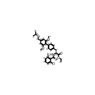 CCOC(=O)[C@H](Cc1ccc(-c2c(OC)cc(COC(C)C)cc2OC)cc1)NC(=O)c1c(F)cccc1Cl